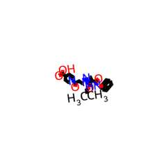 CC(C)COc1c(C(=O)NC2C3CC4CC(C3)CC2C4)cnn1CCC(=O)N1CCC(C(=O)O)CC1